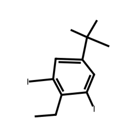 CCc1c(I)cc(C(C)(C)C)cc1I